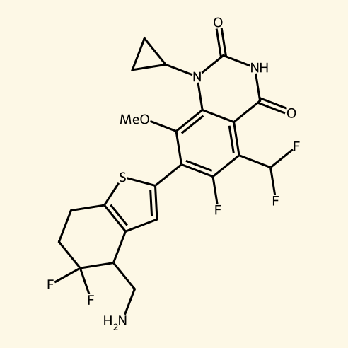 COc1c(-c2cc3c(s2)CCC(F)(F)C3CN)c(F)c(C(F)F)c2c(=O)[nH]c(=O)n(C3CC3)c12